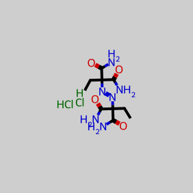 CCC(N=NC(CC)(C(N)=O)C(N)=O)(C(N)=O)C(N)=O.Cl.Cl